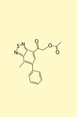 CC(=O)OCC(=O)c1cc(-c2ccccc2)c(C)c2nsnc12